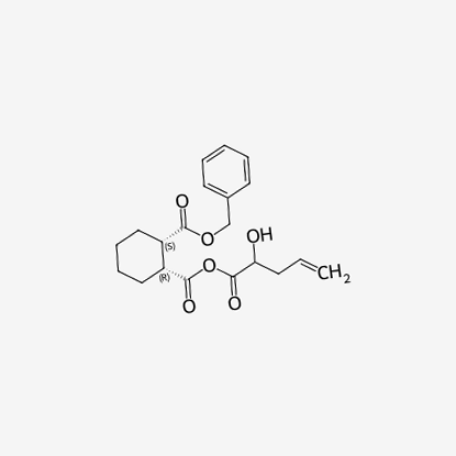 C=CCC(O)C(=O)OC(=O)[C@@H]1CCCC[C@@H]1C(=O)OCc1ccccc1